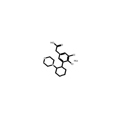 Cl.O=C(O)Cc1cc(Cl)c(Cl)c(C2CCCCC2N2CCOCC2)c1